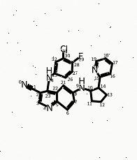 N#Cc1cnc2ccc(NC3CCCC3c3ccccn3)cc2c1Nc1ccc(F)c(Cl)c1